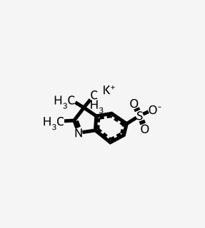 CC1=Nc2ccc(S(=O)(=O)[O-])cc2C1(C)C.[K+]